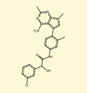 Cc1nc(N)c2c(-c3ccc(NC(=O)C(O)c4cccc(Cl)c4)cc3F)cn(C)c2n1